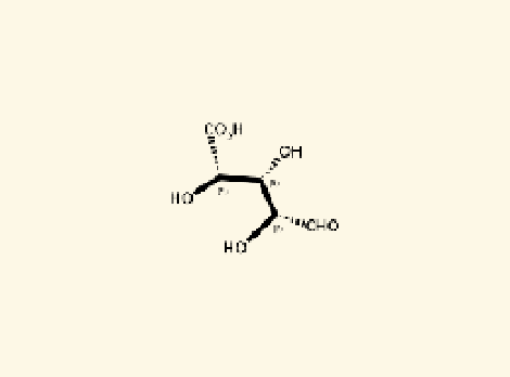 O=C[C@H](O)[C@@H](O)[C@H](O)C(=O)O